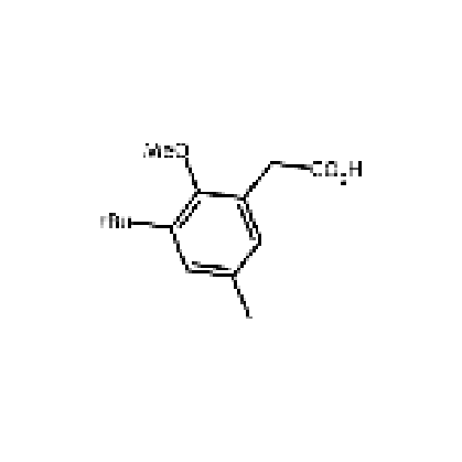 COc1c(CC(=O)O)cc(C)cc1C(C)(C)C